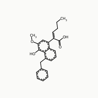 CCCC=C(C(=O)O)c1cc(OC)c(O)c2c(Cc3ccccc3)cccc12